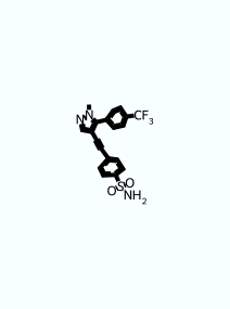 Cn1ncc(C#Cc2ccc(S(N)(=O)=O)cc2)c1-c1ccc(C(F)(F)F)cc1